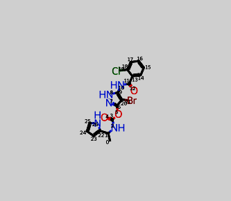 CC(NC(=O)Oc1n[nH]c(NC(=O)c2ccccc2Cl)c1Br)c1ccc[nH]1